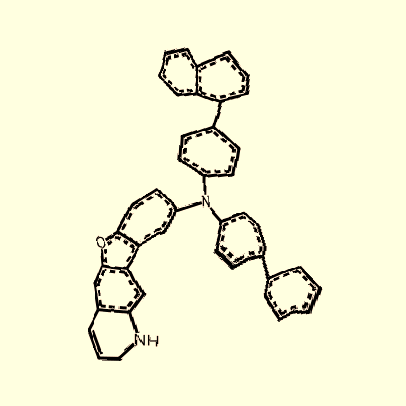 C1=Cc2cc3oc4ccc(N(c5ccc(-c6ccccc6)cc5)c5ccc(-c6cccc7ccccc67)cc5)cc4c3cc2NC1